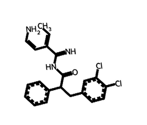 C/C=C(\C=C/N)C(=N)NC(=O)C(Cc1ccc(Cl)c(Cl)c1)c1ccccc1